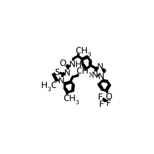 CCCc1ccc(C)cc1-n1c(C)cs/c1=N\C(=O)NCC(C)c1ccc(-c2ncn(-c3ccc(OC(F)(F)F)cc3)n2)cc1